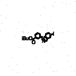 CC(C)COC(=O)c1cccc(-n2ncc3cc(I)ccc32)c1